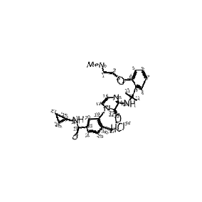 CNCCOc1ccccc1C(C)(C)Nc1nccn(-c2cc(C(=O)NC3CC3)ccc2C)c1=O.Cl